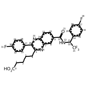 O=C(O)CCCCc1nc2cc(C(=O)N[C@@H](c3ccc(F)cc3)C(F)(F)F)ccc2nc1-c1ccc(F)cc1